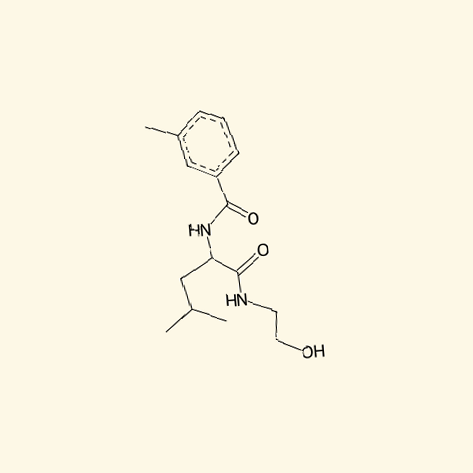 Cc1cccc(C(=O)NC(CC(C)C)C(=O)NCCO)c1